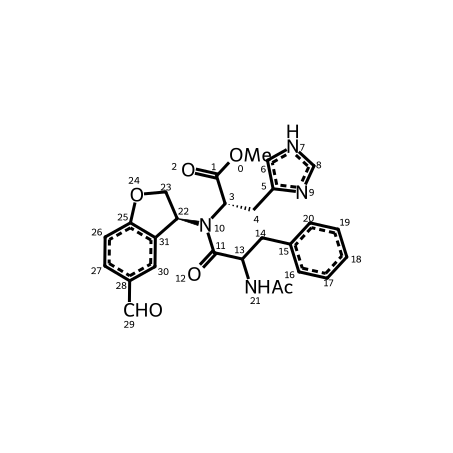 COC(=O)[C@H](Cc1c[nH]cn1)N(C(=O)C(Cc1ccccc1)NC(C)=O)[C@@H]1COc2ccc(C=O)cc21